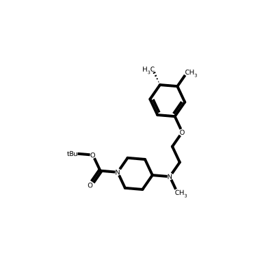 CC1C=C(OCCN(C)C2CCN(C(=O)OC(C)(C)C)CC2)C=C[C@@H]1C